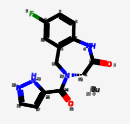 CC[C@H](C)[C@H]1C(=O)Nc2ccc(F)cc2CN1C(=O)c1ccn[nH]1